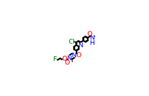 CNC(=O)c1ccc(-c2cc(Cl)c3ccc(C(=O)N4CCN(C(=O)OCCCF)[C@H](C)C4)cc3n2)cc1